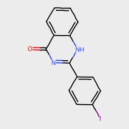 O=c1nc(-c2ccc(I)cc2)[nH]c2ccccc12